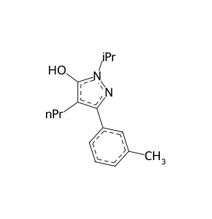 CCCc1c(-c2cccc(C)c2)nn(C(C)C)c1O